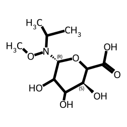 CON(C(C)C)[C@@H]1OC(C(=O)O)[C@@H](O)C(O)C1O